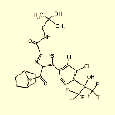 CC(C)(O)CNC(=O)c1nc(C(=O)N2C3CCC2CC3)c(-c2ccc(C(O)(C(F)(F)F)C(F)(F)F)c(Cl)c2Cl)s1